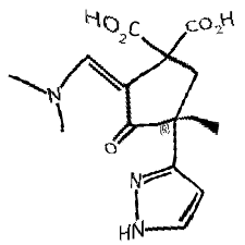 CN(C)C=C1C(=O)[C@@](C)(c2cc[nH]n2)CC1(C(=O)O)C(=O)O